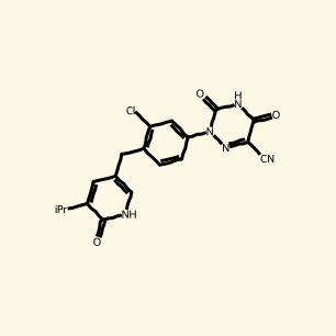 CC(C)c1cc(Cc2ccc(-n3nc(C#N)c(=O)[nH]c3=O)cc2Cl)c[nH]c1=O